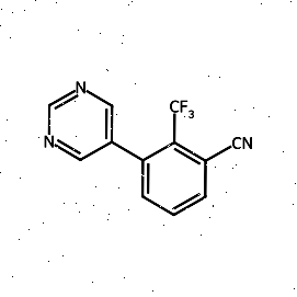 N#Cc1cccc(-c2cncnc2)c1C(F)(F)F